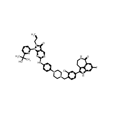 C=CCn1c(=O)c2cnc(Nc3ccc(N4CCN(Cc5ccc(-c6[nH]c7cc(F)cc8c7c6CCNC8=O)cc5Cl)CC4)cc3)nc2n1-c1cccc(C(C)(C)O)n1